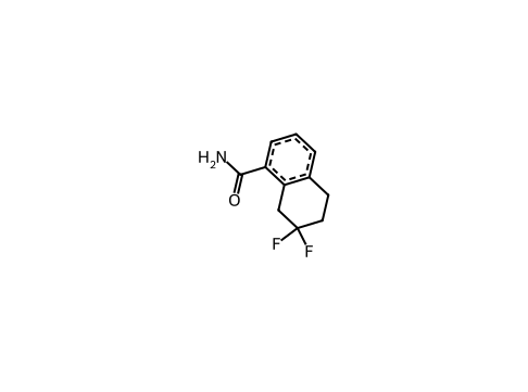 NC(=O)c1cccc2c1CC(F)(F)CC2